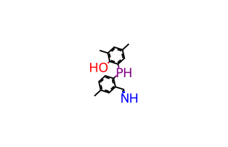 Cc1ccc(Pc2cc(C)cc(C)c2O)c(C=N)c1